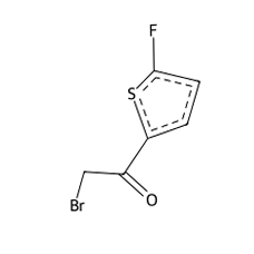 O=C(CBr)c1ccc(F)s1